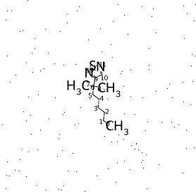 CCCCCCC(C)(C)c1cnsn1